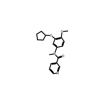 COc1ccc(N(C)C(=O)c2cccnc2)cc1OC1CCCC1